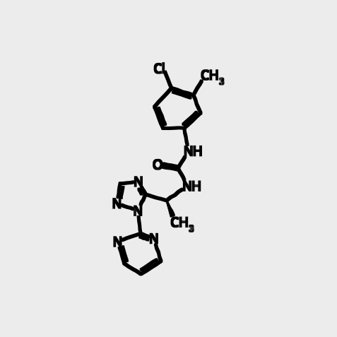 Cc1cc(NC(=O)N[C@@H](C)c2ncnn2-c2ncccn2)ccc1Cl